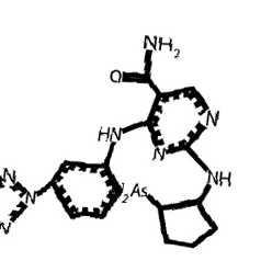 NC(=O)c1cnc(NC2CCCC2[AsH2])nc1Nc1cccc(-n2nccn2)c1